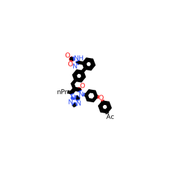 CCCc1c(Cc2ccc(-c3ccccc3-c3noc(=O)[nH]3)cc2)c(=O)n(C2CCC(Oc3ccc(C(C)=O)cc3)CC2)c2ncnn12